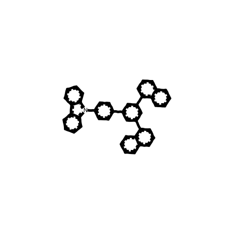 c1ccc2c(-c3cc(-c4ccc(-n5c6ccccc6c6ccccc65)cc4)cc(-c4cccc5ccccc45)c3)cccc2c1